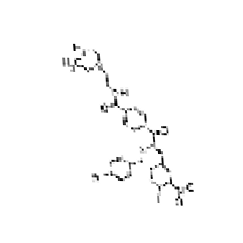 CCN(CC)CCNC(=O)c1ccc(C(=O)C(=Cc2ccc(F)c([N+](=O)[O-])c2)SCc2ccc(Br)cc2)cc1